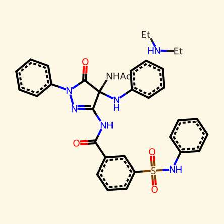 CC(=O)NC1(Nc2ccccc2)C(=O)N(c2ccccc2)N=C1NC(=O)c1cccc(S(=O)(=O)Nc2ccccc2)c1.CCNCC